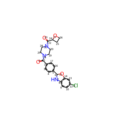 O=C(c1ccc(C2Nc3ccc(Cl)cc3O2)cc1)N1CCN(C(=O)C2CCO2)CC1